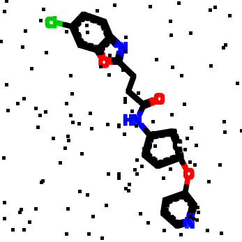 O=C(CCc1nc2ccc(Cl)cc2o1)Nc1ccc(Oc2cccnc2)cc1